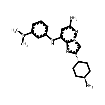 CN(C)c1cccc(Nc2cc(N)nn3cc([C@H]4CC[C@H](N)CC4)nc23)c1